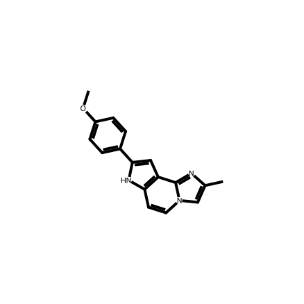 COc1ccc(-c2cc3c(ccn4cc(C)nc34)[nH]2)cc1